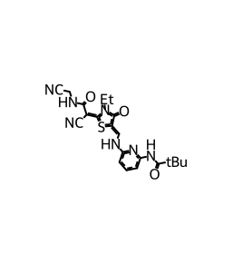 CCn1c(=C(C#N)C(=O)NCC#N)sc(=CNc2cccc(NC(=O)C(C)(C)C)n2)c1=O